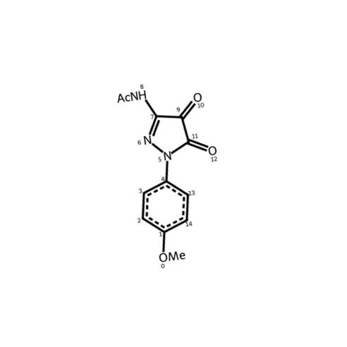 COc1ccc(N2N=C(NC(C)=O)C(=O)C2=O)cc1